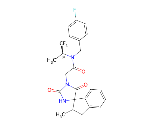 CC1Cc2ccccc2C12NC(=O)N(CC(=O)N(Cc1ccc(F)cc1)[C@@H](C)C(F)(F)F)C2=O